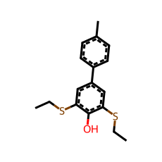 CCSc1cc(-c2ccc(C)cc2)cc(SCC)c1O